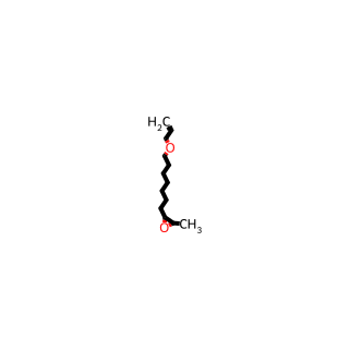 C=CCOCCCCCCCC1OC1C